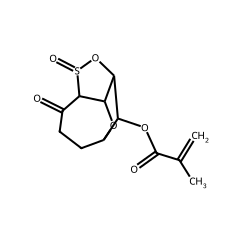 C=C(C)C(=O)OC1C2CCC(=O)C3C(O2)C1OS3=O